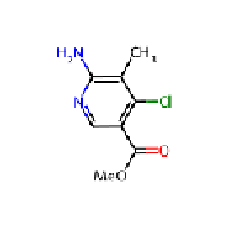 COC(=O)c1cnc(N)c(C)c1Cl